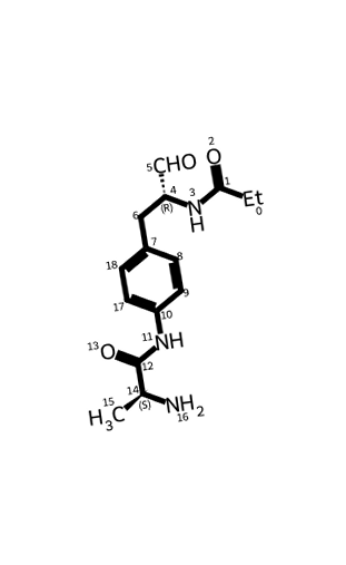 CCC(=O)N[C@@H](C=O)Cc1ccc(NC(=O)[C@H](C)N)cc1